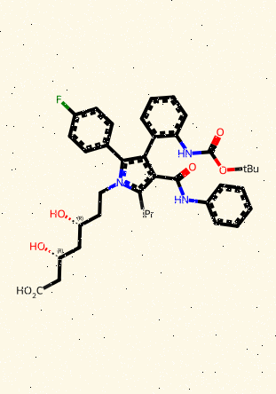 CC(C)c1c(C(=O)Nc2ccccc2)c(-c2ccccc2NC(=O)OC(C)(C)C)c(-c2ccc(F)cc2)n1CC[C@@H](O)C[C@@H](O)CC(=O)O